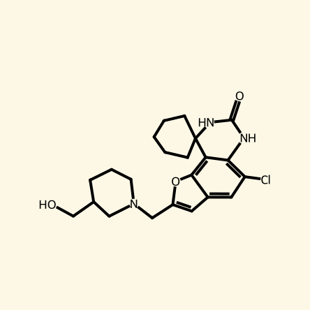 O=C1Nc2c(Cl)cc3cc(CN4CCCC(CO)C4)oc3c2C2(CCCCC2)N1